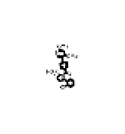 COc1cc(OC)c(-c2ccc(C(=O)N3C(c4ccccc4Cl)CC[C@H]3C(=O)O)cc2)cn1